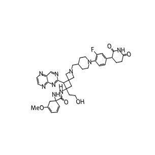 COC1=CC=CC(N)(C(=O)NC2(CCO)CC3(CN(CC4CCN(c5ccc(C6CCC(=O)NC6=O)cc5F)CC4)C3)C2c2ncc3nccnc3n2)C1